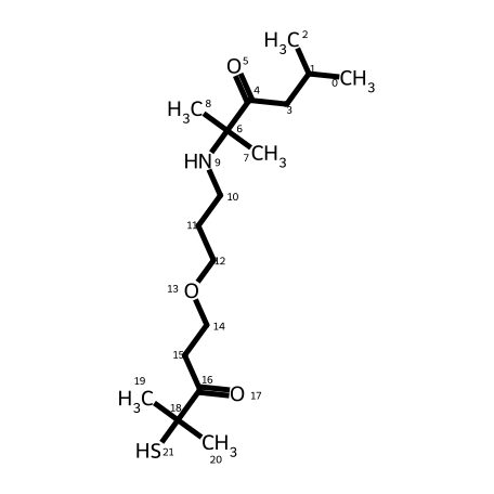 CC(C)CC(=O)C(C)(C)NCCCOCCC(=O)C(C)(C)S